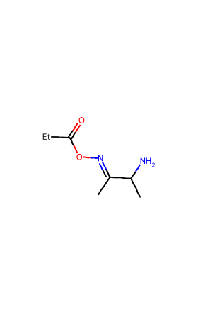 CCC(=O)O/N=C(\C)C(C)N